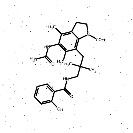 CCCCCCCCN1CCc2c(C)c(NC(N)=O)c(C)c(CC(C)(C)CNC(=O)c3ccccc3O)c21